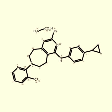 CC(C)c1nc2c(c(Nc3ccc(C4CC4)cc3)n1)CCN(c1ncccc1C(F)(F)F)CC2.NC(=O)O